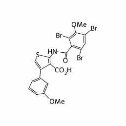 COc1cccc(-c2csc(NC(=O)c3c(Br)cc(Br)c(OC)c3Br)c2C(=O)O)c1